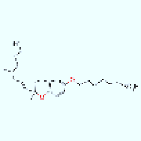 CC(C)CCCC(C)CC=CC1(C)CCc2cc(OCCCCCCS(=O)(=O)O)ccc2O1